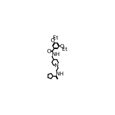 C=C(NCCN1CCC(CNC(=O)c2cc(OCC)cc(OCC)c2)CC1)C1CCCC1